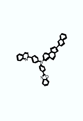 c1ccc2cc(-c3ccc4c(ccc5cc(N(c6ccc(-c7ccc8ccccc8n7)cc6)c6ccc(-c7nc8ccccc8o7)cc6)ccc54)c3)ccc2c1